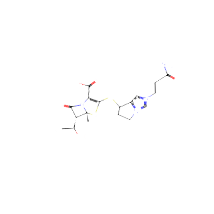 CC(O)[C@H]1C(=O)N2C(C(=O)[O-])=C(SC3CC[n+]4cn(CCC(N)=O)cc43)S[C@H]12